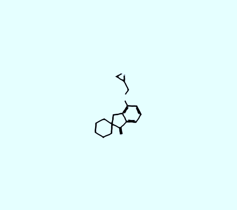 O=C1c2cccc(OCC3CO3)c2CC12CCCCC2